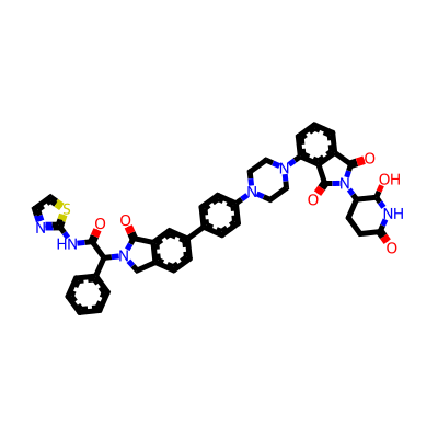 O=C1CCC(N2C(=O)c3cccc(N4CCN(c5ccc(-c6ccc7c(c6)C(=O)N(C(C(=O)Nc6nccs6)c6ccccc6)C7)cc5)CC4)c3C2=O)C(O)N1